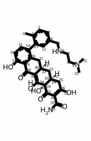 Cc1ccc(CNCCN(C)C)cc1-c1ccc(O)c2c1C[C@H]1C[C@H]3CC(O)=C(C(N)=O)C(=O)[C@@]3(O)C(O)=C1C2=O